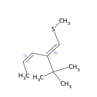 C/C=C\C(=C/SC)C(C)(C)C